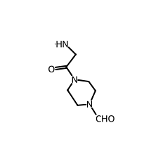 [NH]CC(=O)N1CCN(C=O)CC1